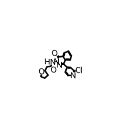 O=C(CC1CCCO1)Nn1nc(-c2ccnc(Cl)c2)c2ccccc2c1=O